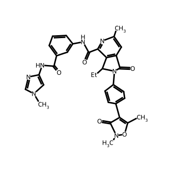 CCC1c2c(cc(C)nc2C(=O)Nc2cccc(C(=O)Nc3cn(C)cn3)c2)C(=O)N1c1ccc(-c2c(C)on(C)c2=O)cc1